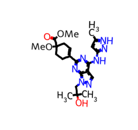 COC(=O)C1(OC)CC=C(c2nc(Nc3cc(C)[nH]n3)c3cnn(CC(C)(C)O)c3n2)CC1